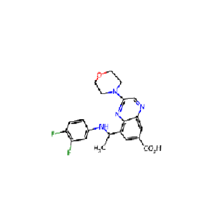 CC(Nc1ccc(F)c(F)c1)c1cc(C(=O)O)cc2ncc(N3CCOCC3)nc12